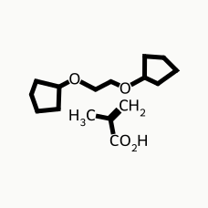 C1CCC(OCCOC2CCCC2)C1.C=C(C)C(=O)O